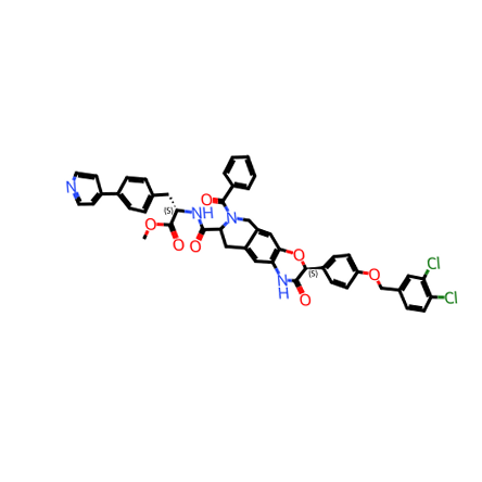 COC(=O)[C@H](Cc1ccc(-c2ccncc2)cc1)NC(=O)C1Cc2cc3c(cc2CN1C(=O)c1ccccc1)O[C@@H](c1ccc(OCc2ccc(Cl)c(Cl)c2)cc1)C(=O)N3